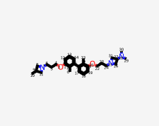 Cc1c(OCCCN2CC(C)C2)cccc1-c1cccc(OCCCN2CC(N(C)C)C2)c1C